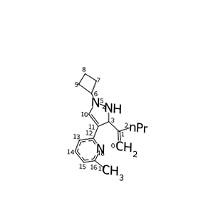 C=C(CCC)C1NN(C2CCC2)C=C1c1cccc(C)n1